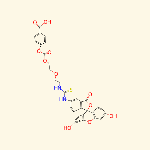 O=C(OCCOCCNC(=S)Nc1ccc2c(c1)C(=O)OC21c2ccc(O)cc2Oc2cc(O)ccc21)Oc1ccc(C(=O)O)cc1